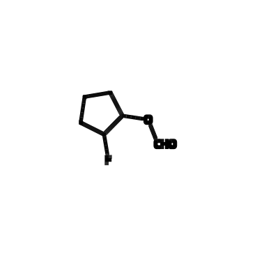 O=COC1CCCC1F